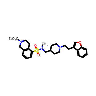 CCOC(=O)N1CCc2c(cccc2S(=O)(=O)N(C)CC2CCN(CCc3coc4ccccc34)CC2)C1